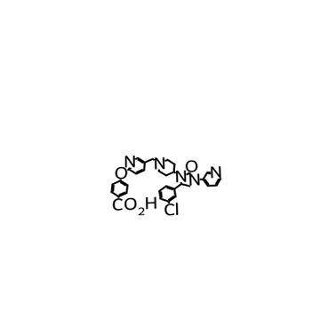 O=C(O)c1ccc(Oc2ccc(CN3CCC(N4C(=O)N(c5cccnc5)CC4c4cccc(Cl)c4)CC3)cn2)cc1